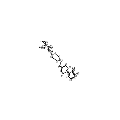 C[C@@H]1CN(CC[C@H]2CC[C@H](NC(=O)C3(O)CC3)CC2)CCN1c1cccc(F)c1Cl